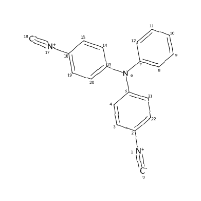 [C-]#[N+]c1ccc(N(c2ccccc2)c2ccc([N+]#[C-])cc2)cc1